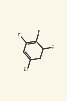 FC1=C(F)C(F)CC(Br)=C1